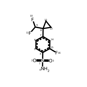 NS(=O)(=O)c1ccc(C2(C(F)F)CC2)cc1F